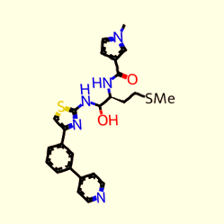 CSCC[C@H](NC(=O)c1ccn(C)c1)C(O)Nc1nc(-c2cccc(-c3ccncc3)c2)cs1